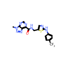 Cn1nnc2c(C(=O)NCc3cnc(Nc4ccc(C(F)(F)F)cc4)s3)ncnc21